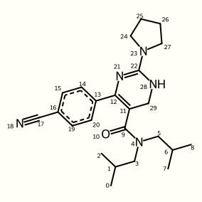 CC(C)CN(CC(C)C)C(=O)C1=C(c2ccc(C#N)cc2)N=C(N2CCCC2)NC1